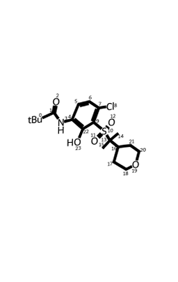 CC(C)(C)C(=O)Nc1ccc(Cl)c(S(=O)(=O)C(C)(C)C2CCOCC2)c1O